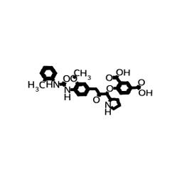 COc1cc(CC(=O)C(Oc2ccc(C(=O)O)cc2C(=O)O)C2CCCN2)ccc1NC(=O)Nc1ccccc1C